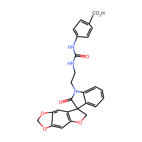 O=C(NCCN1C(=O)C2(COc3cc4c(cc32)OCO4)c2ccccc21)Nc1ccc(C(=O)O)cc1